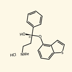 CNCC[C@@](O)(Oc1cccc2sccc12)c1ccccc1.Cl